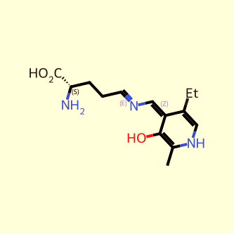 CCC1=CNC(C)=C(O)/C1=C\N=C\CC[C@H](N)C(=O)O